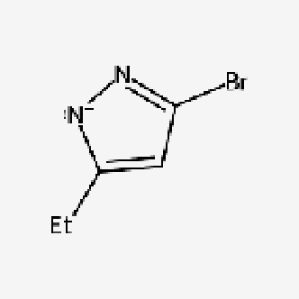 CCC1=CC(Br)=N[N+]1